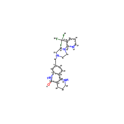 O=c1[nH]c2cc(CN3CCN(c4ncccc4C(F)(F)F)CC3)ccc2c2c1CCCN2